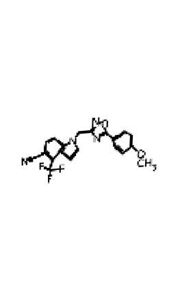 COc1ccc(-c2nc(Cn3ccc4c(C(F)(F)F)c(C#N)ccc43)no2)cc1